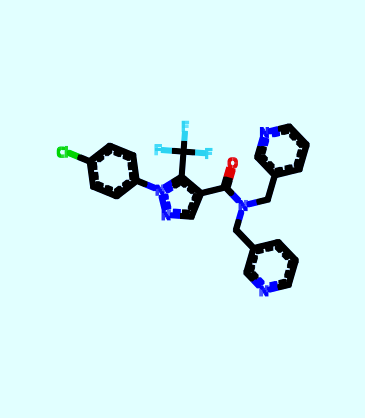 O=C(c1cnn(-c2ccc(Cl)cc2)c1C(F)(F)F)N(Cc1cccnc1)Cc1cccnc1